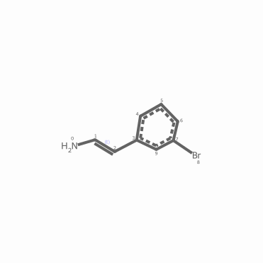 N/C=C/c1cccc(Br)c1